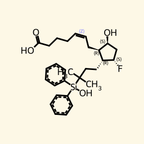 CC(C)(CC[C@@H]1[C@@H](C/C=C\CCCC(=O)O)[C@@H](O)C[C@@H]1F)[Si](O)(c1ccccc1)c1ccccc1